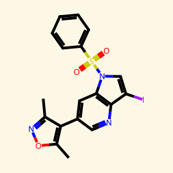 Cc1noc(C)c1-c1cnc2c(I)cn(S(=O)(=O)c3ccccc3)c2c1